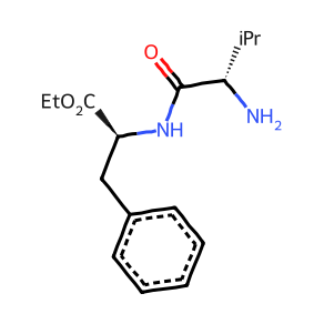 CCOC(=O)[C@H](Cc1ccccc1)NC(=O)[C@@H](N)C(C)C